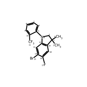 CC1(C)CN(c2ccccc2C(F)(F)F)c2cc(Br)c(F)cc21